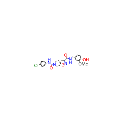 COc1cc(CNC(=O)C2=NOC3(CCN(C(=O)Nc4ccc(Cl)cc4)CC3)C2)ccc1O